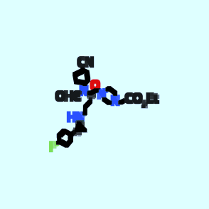 CCOC(=O)CN1CCN(C(=O)[C@H](CCCN[C@@H]2C[C@H]2c2ccc(F)cc2)N(C=O)c2ccc(C#N)cc2)CC1